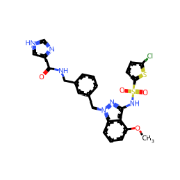 COc1cccc2c1c(NS(=O)(=O)c1ccc(Cl)s1)nn2Cc1cccc(CNC(=O)c2c[nH]cn2)c1